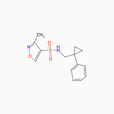 Cc1nocc1S(=O)(=O)NCC1(c2ccccc2)CC1